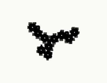 c1ccc(-c2ccccc2-c2ccc(N(c3ccc(-c4ccc5c(c4)oc4ccccc45)cc3)c3ccc(-c4ccc5oc6c(-c7ccccc7)cccc6c5c4)cc3)cc2)cc1